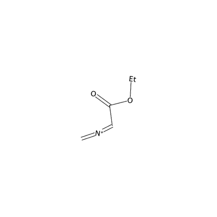 C=[N+]=CC(=O)OCC